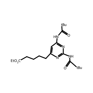 CCOC(=O)CCCCc1cc(NC(=O)C(C)(C)C)nc(NC(=O)C(C)(C)C)n1